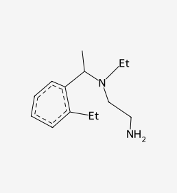 CCc1ccccc1C(C)N(CC)CCN